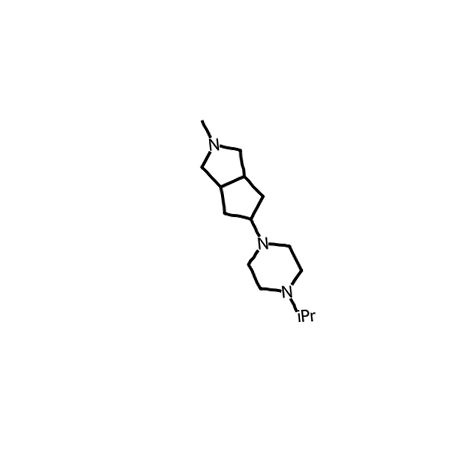 CC(C)N1CCN(C2CC3CN(C)CC3C2)CC1